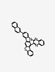 c1ccc2cc(-c3ccc4c(c3)c3cc5sc6ccccc6c5c5c6nc7ccccc7nc6n4c35)ccc2c1